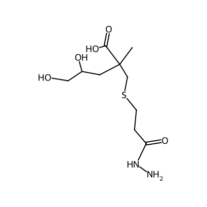 CC(CSCCC(=O)NN)(CC(O)CO)C(=O)O